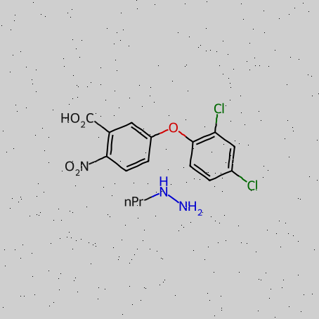 CCCNN.O=C(O)c1cc(Oc2ccc(Cl)cc2Cl)ccc1[N+](=O)[O-]